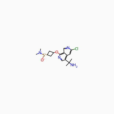 CN(C)[S+]([O-])C1CC(Oc2ncc(C(C)(C)N)c3cc(Cl)ncc23)C1